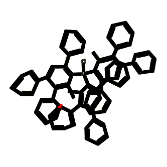 Cc1c(-c2ccccc2)c(-c2ccccc2)cc(-c2ccccc2)c1[Si](Cl)(c1c(-c2ccccc2)cc(-c2ccccc2)c(-c2ccccc2)c1C)c1c(-c2ccccc2)cc(-c2ccccc2)c(-c2ccccc2)c1C